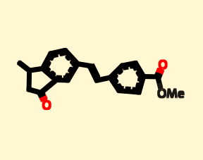 COC(=O)c1ccc(C=Cc2ccc3c(c2)C(=O)CC3C)cc1